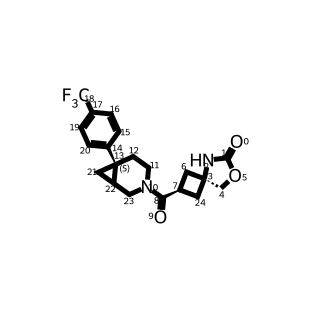 O=C1N[C@]2(CO1)C[C@H](C(=O)N1CC[C@@]3(c4ccc(C(F)(F)F)cc4)CC3C1)C2